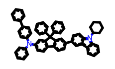 c1ccc(-c2ccc(N(c3ccccc3)c3ccc4c(c3)C(c3ccccc3)(c3ccccc3)c3cc(-c5ccc6c(c5)c5ccccc5n6C5CCCCC5)ccc3-4)cc2)cc1